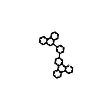 c1cc(-c2ccc3c4ccccc4c4cccnc4c3c2)cc(-c2cc3ccccc3c3ccccc23)c1